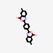 Cc1ccc2nc(-c3ccc(-c4nc5ccc(C)cc5c(=O)o4)cc3)oc(=O)c2c1